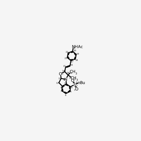 CCCCS(=O)(=O)c1cccc2c1N1C(C2)OC(C=Cc2ccc(NC(C)=O)cc2)C1(C)C